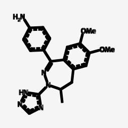 COc1cc2c(cc1OC)C(c1ccc(N)cc1)=NN(c1ncn[nH]1)C(C)C2